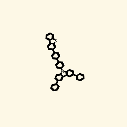 c1ccc(-c2ccc3c(c2)c2cc(-c4ccccc4)ccc2n3-c2ccc(-c3ccc(-c4ccc5c(c4)sc4ccccc45)cc3)cc2)cc1